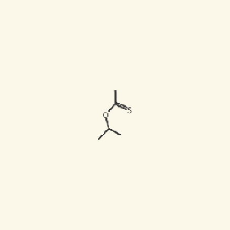 CC(=S)OC(C)C